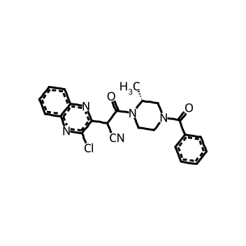 C[C@@H]1CN(C(=O)c2ccccc2)CCN1C(=O)C(C#N)c1nc2ccccc2nc1Cl